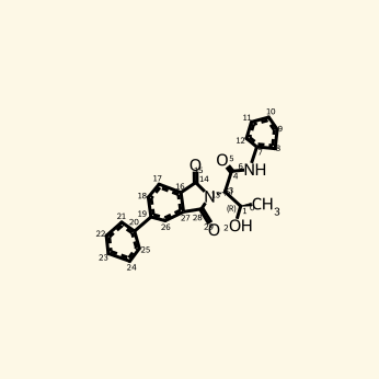 C[C@@H](O)[C@@H](C(=O)Nc1ccccc1)N1C(=O)c2ccc(-c3ccccc3)cc2C1=O